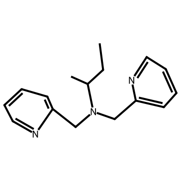 CCC(C)N(Cc1ccccn1)Cc1ccccn1